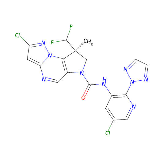 C[C@]1(C(F)F)CN(C(=O)Nc2cc(Cl)cnc2-n2nccn2)c2cnc3cc(Cl)nn3c21